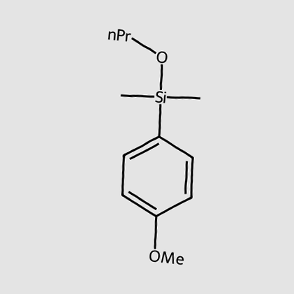 CCCO[Si](C)(C)c1ccc(OC)cc1